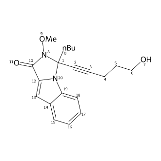 CCCCC1(C#CCCCO)N(OC)C(=O)c2cc3ccccc3n21